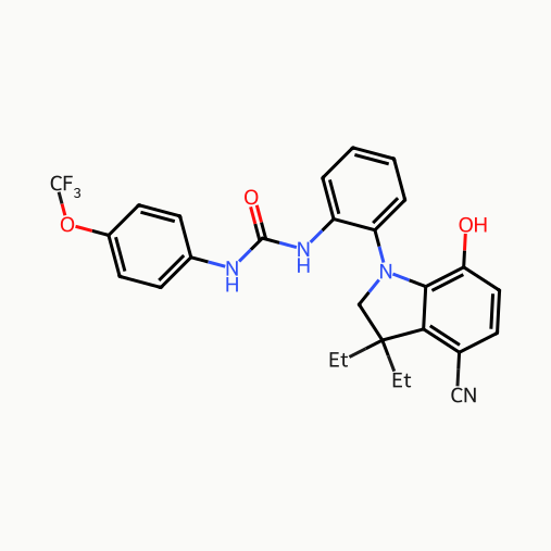 CCC1(CC)CN(c2ccccc2NC(=O)Nc2ccc(OC(F)(F)F)cc2)c2c(O)ccc(C#N)c21